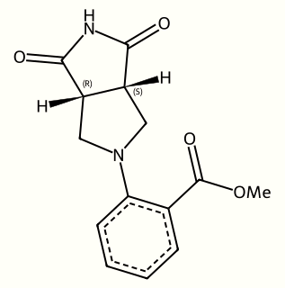 COC(=O)c1ccccc1N1C[C@@H]2C(=O)NC(=O)[C@@H]2C1